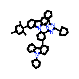 Cc1cc(C)c(-c2ccc3c4ccccc4n(-c4ccc(-c5cccc6c5c5ccccc5n6-c5ccccc5)cc4-c4nc(-c5ccccc5)nc(-c5ccccc5)n4)c3c2)c(C)c1